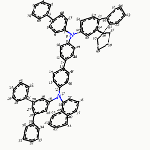 c1ccc(-c2ccc(N(c3ccc(-c4ccc(N(c5cc(-c6ccccc6)cc(-c6ccccc6)c5)c5cccc6ccccc56)cc4)cc3)c3ccc4c(c3)C3(CCCC3)c3ccccc3-4)cc2)cc1